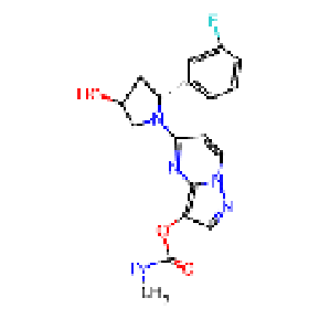 CNC(=O)Oc1cnn2ccc(N3C[C@@H](O)C[C@@H]3c3cccc(F)c3)nc12